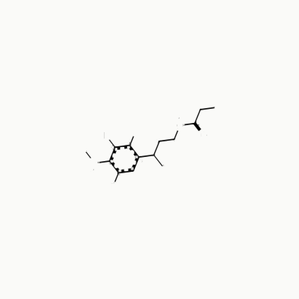 CCC(=O)OCCC(C)c1cc(F)c(OC)c(F)c1F